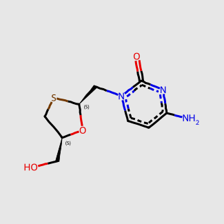 Nc1ccn(C[C@H]2O[C@@H](CO)CS2)c(=O)n1